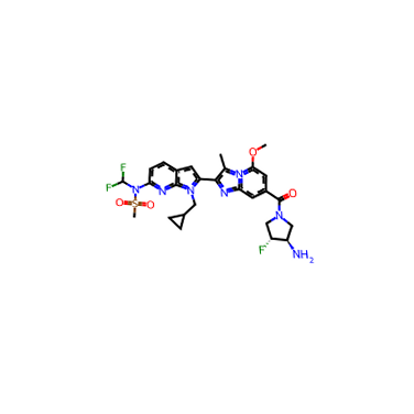 COc1cc(C(=O)N2C[C@@H](N)[C@H](F)C2)cc2nc(-c3cc4ccc(N(C(F)F)S(C)(=O)=O)nc4n3CC3CC3)c(C)n12